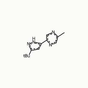 Cc1cnc(-c2cc(C(C)(C)C)n[nH]2)cn1